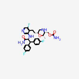 C[C@@H]1O[C@H](CCc2c(F)cncc2N[C@H](C(N)=O)C(c2ccc(F)cc2)c2ccc(F)cc2)CN[C@@H]1COC(N)=O